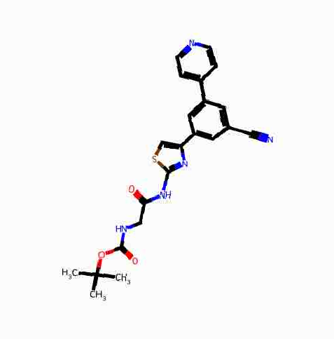 CC(C)(C)OC(=O)NCC(=O)Nc1nc(-c2cc(C#N)cc(-c3ccncc3)c2)cs1